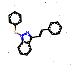 C(=Cc1nn(Sc2ccccc2)c2ccccc12)c1ccccc1